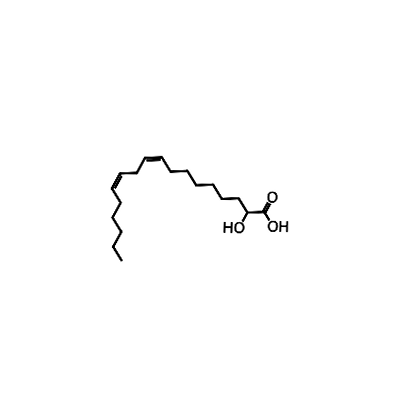 CCCCC/C=C\C/C=C\CCCCCCC(O)C(=O)O